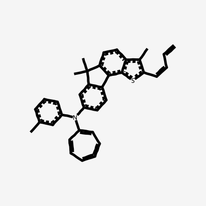 C=C/C=C\c1sc2c3c(ccc2c1C)C(C)(C)c1cc(N(C2=CC=C=CC=C2)c2cccc(C)c2)ccc1-3